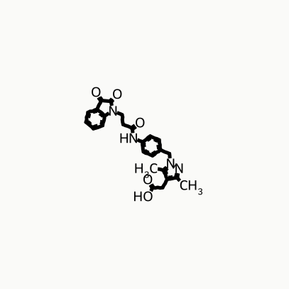 Cc1nn(Cc2ccc(NC(=O)CCN3C(=O)C(=O)c4ccccc43)cc2)c(C)c1CC(=O)O